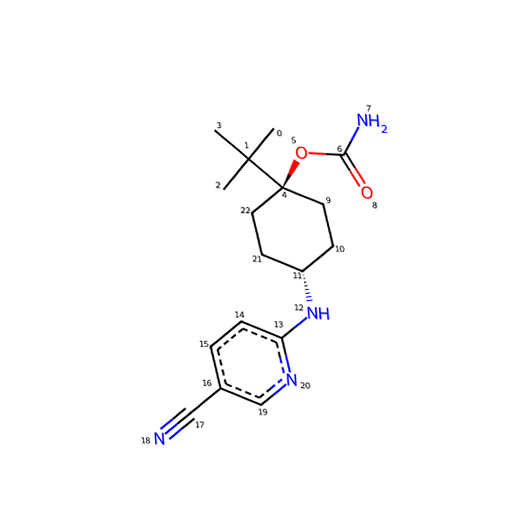 CC(C)(C)[C@]1(OC(N)=O)CC[C@H](Nc2ccc(C#N)cn2)CC1